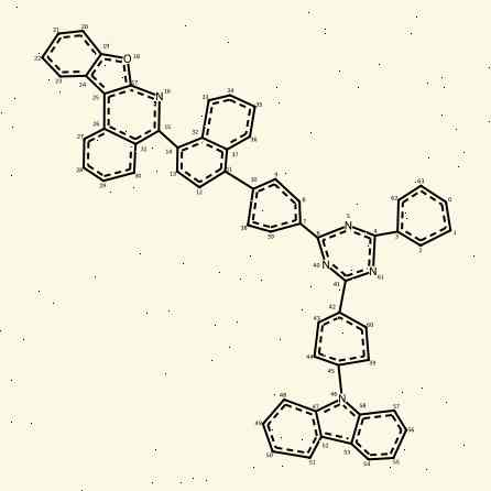 c1ccc(-c2nc(-c3ccc(-c4ccc(-c5nc6oc7ccccc7c6c6ccccc56)c5ccccc45)cc3)nc(-c3ccc(-n4c5ccccc5c5ccccc54)cc3)n2)cc1